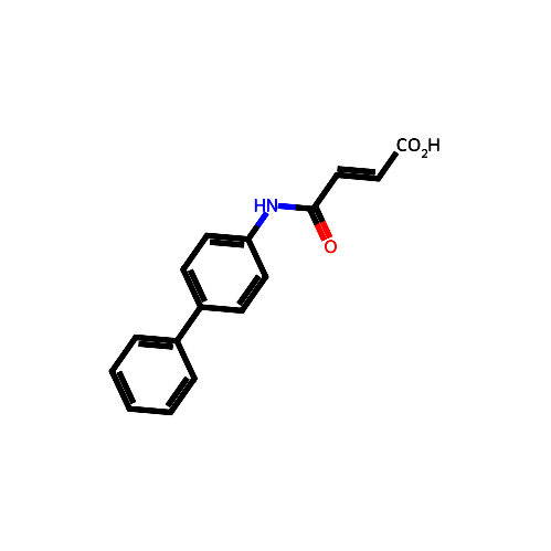 O=C(O)C=CC(=O)Nc1ccc(-c2ccccc2)cc1